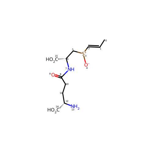 C/C=C/[S+]([O-])C[C@H](NC(=O)CC[C@H](N)C(=O)O)C(=O)O